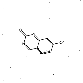 O=C1N=CC23C=CC=CC2=C[N+]([O-])=CC3=N1